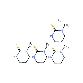 CN1CCCNC1=S.CN1CCCNC1=S.CN1CCCNC1=S.CN1CCCNC1=S.[Pt]